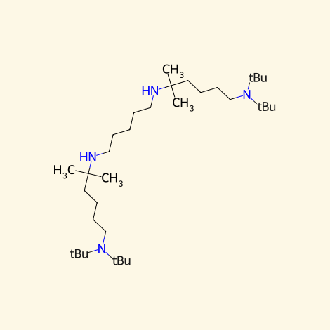 CC(C)(CCCCN(C(C)(C)C)C(C)(C)C)NCCCCCNC(C)(C)CCCCN(C(C)(C)C)C(C)(C)C